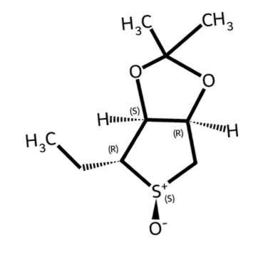 CC[C@@H]1[C@H]2OC(C)(C)O[C@H]2C[S@@+]1[O-]